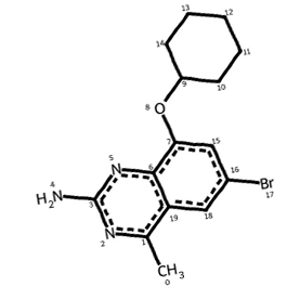 Cc1nc(N)nc2c(OC3CCCCC3)cc(Br)cc12